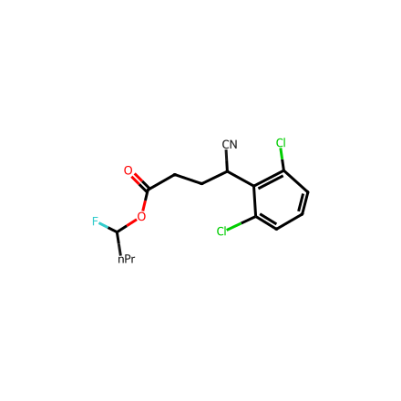 CCCC(F)OC(=O)CCC(C#N)c1c(Cl)cccc1Cl